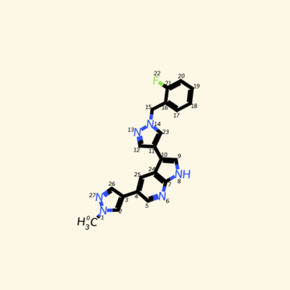 Cn1cc(-c2cnc3[nH]cc(-c4cnn(Cc5ccccc5F)c4)c3c2)cn1